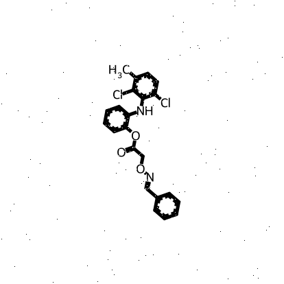 Cc1ccc(Cl)c(Nc2ccccc2OC(=O)CON=Cc2ccccc2)c1Cl